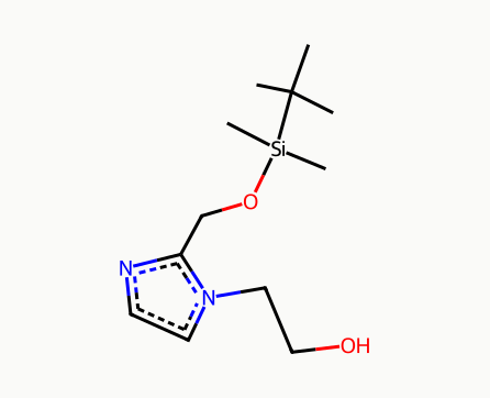 CC(C)(C)[Si](C)(C)OCc1nccn1CCO